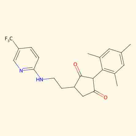 Cc1cc(C)c(C2C(=O)CC(CCNc3ccc(C(F)(F)F)cn3)C2=O)c(C)c1